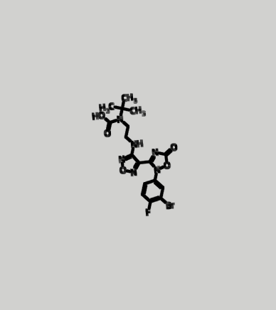 CC(C)(C)N(CCNc1nonc1-c1nc(=O)on1-c1ccc(F)c(Br)c1)C(=O)O